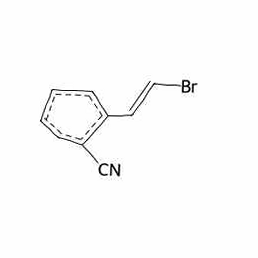 N#Cc1ccccc1C=CBr